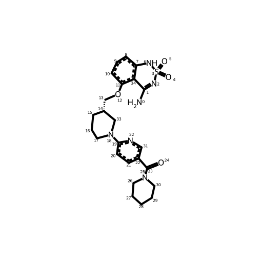 NC1=NS(=O)(=O)Nc2cccc(OC[C@H]3CCCN(c4ccc(C(=O)N5CCCCC5)cn4)C3)c21